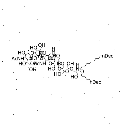 CCCCCCCCCCCCC/C=C/[C@@H](O)[C@H](CO[C@@H]1OC(CO)[C@@H](O[C@@H]2OC(CO)[C@H](O)[C@H](O[C@@H]3OC(CO)[C@@H](O)[C@H](O[C@@H]4OC(CO)[C@H](O)[C@H](O[C@]5(C(=O)O)CC(O)[C@@H](NC(C)=O)C([C@H](O)[C@H](O)CO)O5)C4O)C3NC(C)=O)C2O)[C@H](O)C1O)NC(=O)CCCCCCCCCCCCCCCCCCC